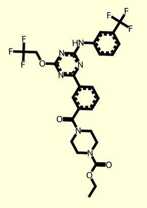 CCOC(=O)N1CCN(C(=O)c2cccc(-c3nc(Nc4cccc(C(F)(F)F)c4)nc(OCC(F)(F)F)n3)c2)CC1